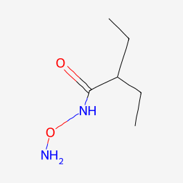 CCC(CC)C(=O)NON